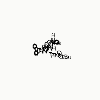 COC(=O)[C@H](Cc1c[nH]c2ccccc12)NC(=O)[C@H](CCCCNC(=O)OC(C)(C)C)NC(=O)OCC1c2ccccc2-c2ccccc21